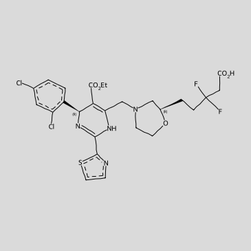 CCOC(=O)C1=C(CN2CCO[C@H](CCC(F)(F)CC(=O)O)C2)NC(c2nccs2)=N[C@H]1c1ccc(Cl)cc1Cl